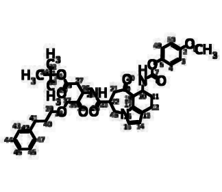 COc1ccc(OC(=O)NC2CCc3ccn4c3C2C(=O)CC(C(=O)NC(CC(=O)OC(C)(C)C)C(=O)COCCCc2ccccc2)C4)cc1